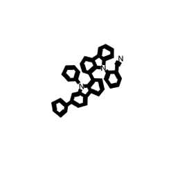 N#Cc1ccccc1-n1c2ccccc2c2cccc(-c3cccc4c5ccc(-c6ccccc6)cc5n(-c5ccccc5)c34)c21